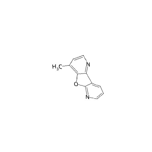 Cc1ccnc2c1oc1ncccc12